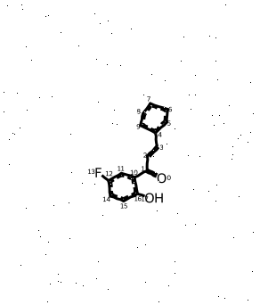 O=C(/C=C/c1ccccc1)c1cc(F)ccc1O